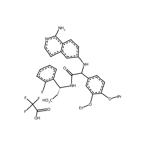 CCOc1cc(C(Nc2ccc3c(N)nccc3c2)C(=O)N[C@H](CC(=O)O)c2ccccc2F)ccc1OC(C)C.O=C(O)C(F)(F)F